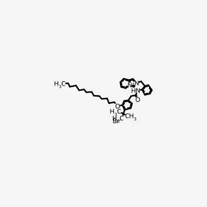 CCCCCCCCCCCCCCOc1cc(CC(=O)Nc2ccccc2Cn2cc3cccc[n+]3c2)ccc1C(C)(C)C.[Br-]